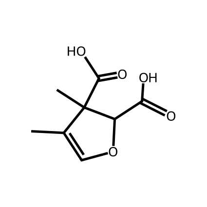 CC1=COC(C(=O)O)C1(C)C(=O)O